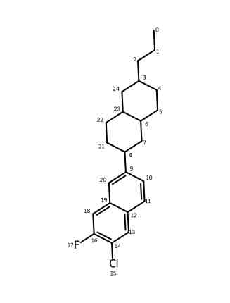 CCCC1CCC2CC(c3ccc4cc(Cl)c(F)cc4c3)CCC2C1